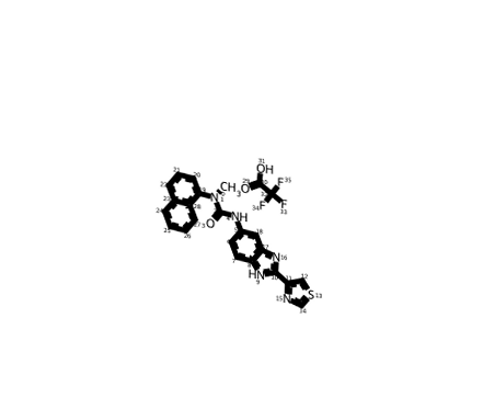 CN(C(=O)Nc1ccc2[nH]c(-c3cscn3)nc2c1)c1cccc2ccccc12.O=C(O)C(F)(F)F